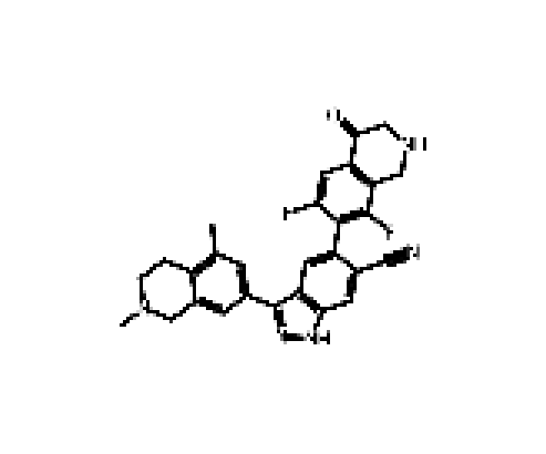 Cc1cc(-c2n[nH]c3cc(C#N)c(-c4c(F)cc5c(c4F)CNCC5=O)cc23)cc2c1CCN(C)C2